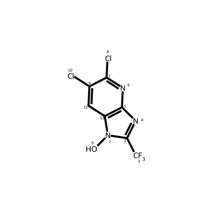 On1c(C(F)(F)F)nc2nc(Cl)c(Cl)cc21